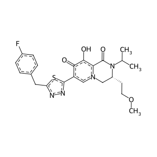 COCC[C@@H]1Cn2cc(-c3nnc(Cc4ccc(F)cc4)s3)c(=O)c(O)c2C(=O)N1C(C)C